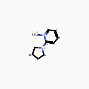 CC(C)(C)[n+]1ccccc1N1CCCC1